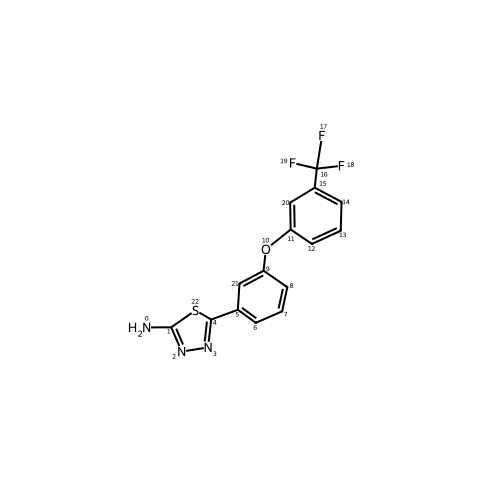 Nc1nnc(-c2cccc(Oc3cccc(C(F)(F)F)c3)c2)s1